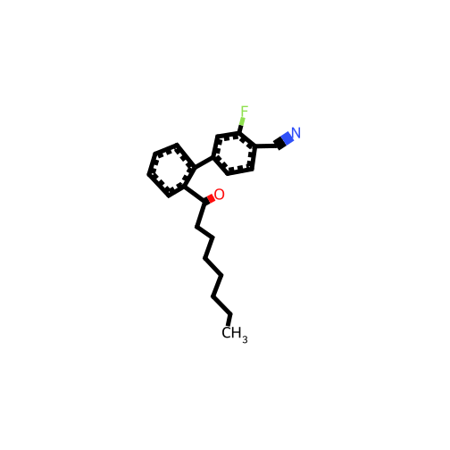 CCCCCCCC(=O)c1ccccc1-c1ccc(C#N)c(F)c1